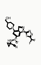 N#CC1(N[S+]([O-])c2cc(N3CCC(CO)CC3)c3cnn(-c4nnc(C(F)F)s4)c3c2)CC1